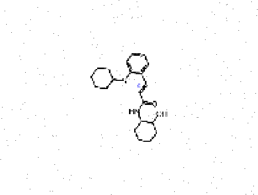 O=C(/C=C/c1ccccc1SC1CCCCC1)NC1CCCCC1O